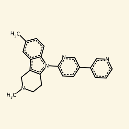 Cc1ccc2c(c1)c1c(n2-c2ccc(-c3cccnc3)cn2)CCN(C)C1